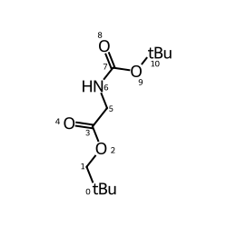 CC(C)(C)COC(=O)CNC(=O)OC(C)(C)C